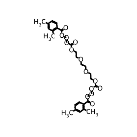 Cc1ccc(C(=O)OOOC(=O)OCCOCCOCCOC(=O)OOOC(=O)c2ccc(C)cc2C)c(C)c1